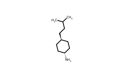 CC(C)CC[C@H]1CC[C@H](N)CC1